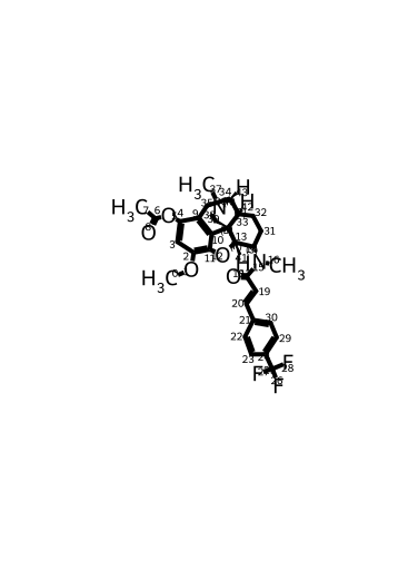 COc1cc(OC(C)=O)c2c3c1O[C@H]1[C@@H](N(C)C(=O)C=Cc4ccc(C(F)(F)F)cc4)CC[C@H]4[C@@H](C2)N(C)CC[C@@]341